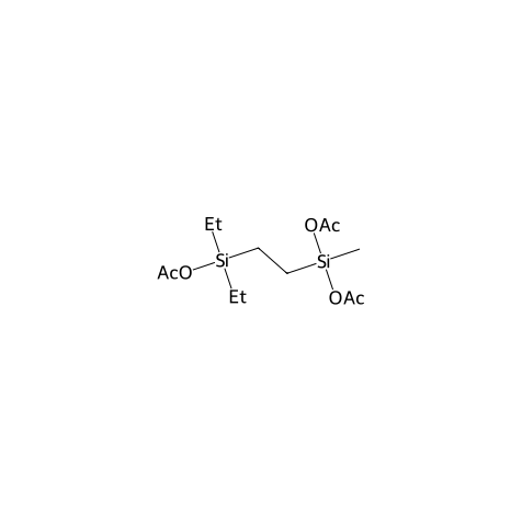 CC[Si](CC)(CC[Si](C)(OC(C)=O)OC(C)=O)OC(C)=O